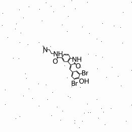 CN(C)CCNC(=O)c1ccc2c(c1)C(=Cc1cc(Br)c(O)c(Br)c1)C(=O)N2